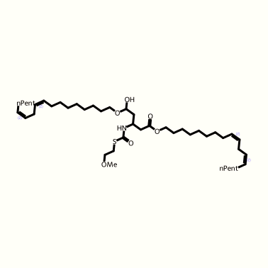 CCCCC/C=C\C/C=C\CCCCCCCCOC(=O)CC(CC(O)OCCCCCCCC/C=C\C/C=C\CCCCC)NC(=O)SCCOC